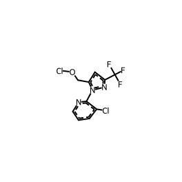 FC(F)(F)c1cc(COCl)n(-c2ncccc2Cl)n1